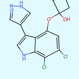 OC1(Oc2cc(Cl)c(Cl)c3[nH]cc(-c4cn[nH]c4)c23)CCC1